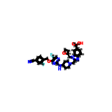 N#Cc1ccc(COc2nc(NC3CCN(Cc4nc5ccc(C(=O)O)cc5n4C[C@@H]4CCO4)CC3)ncc2F)c(F)c1